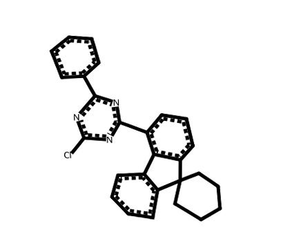 Clc1nc(-c2ccccc2)nc(-c2cccc3c2-c2ccccc2C32CCCCC2)n1